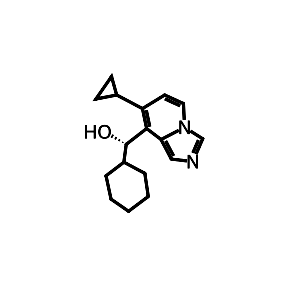 O[C@H](c1c(C2CC2)ccn2cncc12)C1CCCCC1